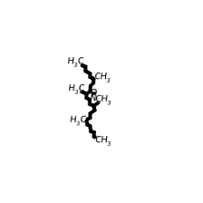 CCCCCCC(C)CCCC(CC)CC(CC(CC)CCCC(C)CCCCCC)N=O